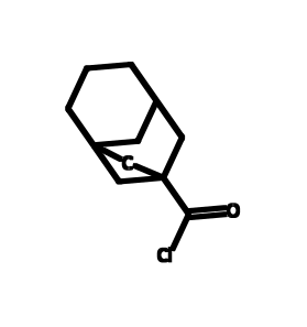 O=C(Cl)C12CC3CCCC(C3)(C1)C2